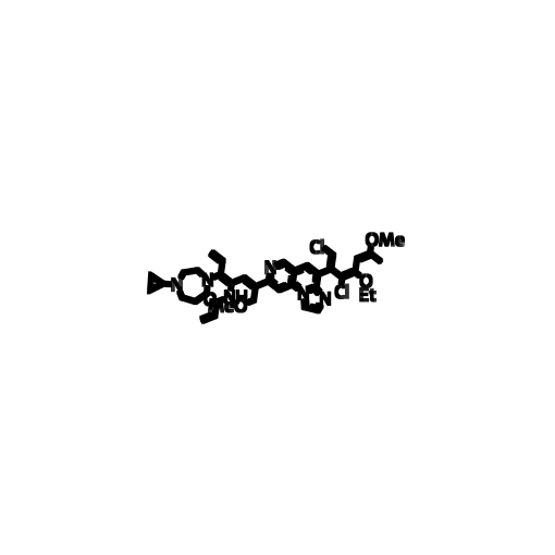 C=CC(=O)NC(/C=C(\COC)c1cc2c(cn1)cc(C(=C\Cl)/C(Cl)=C(\C=C(/C)OC)OCC)c1nccn12)=C(/C=C)N1CCCN(C2CC2)CC1